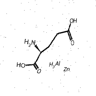 N[C@@H](CCC(=O)O)C(=O)O.[AlH3].[Zn]